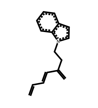 C=CC=CC(=C)CCn1ccc2ccccc21